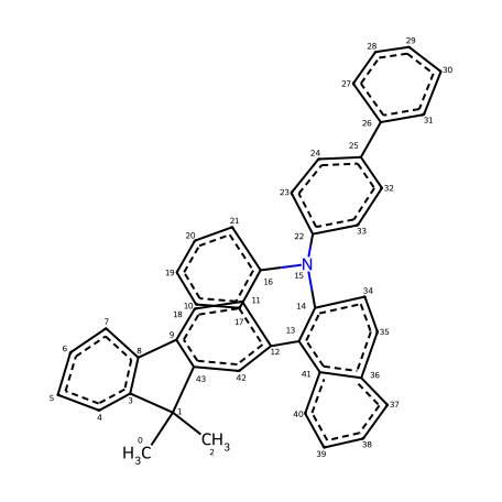 CC1(C)c2ccccc2-c2ccc(-c3c(N(c4ccccc4)c4ccc(-c5ccccc5)cc4)ccc4ccccc34)cc21